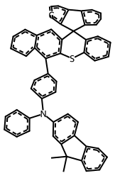 CC1(C)c2ccccc2-c2ccc(N(c3ccccc3)c3ccc(-c4c5c(cc6ccccc46)C4(c6ccccc6S5)c5ccccc5-c5ccccc54)cc3)cc21